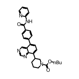 CCCCOC(=O)N1CCCC(c2ccc(-c3ccc(C(=O)Nc4ccccn4)cc3)c3cncnc23)C1